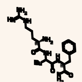 CCC(C)C(NC(=O)[C@@H](N)CCCNC(=N)N)C(=O)N[C@@H](Cc1ccccc1)C(N)=O